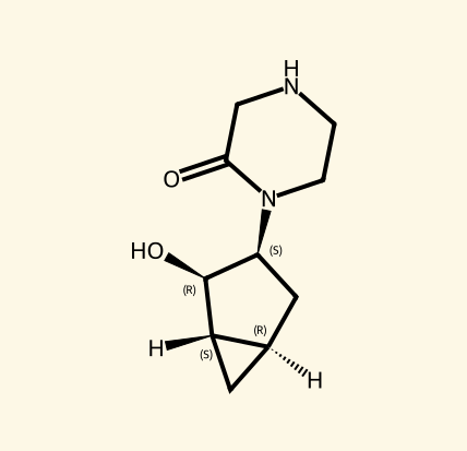 O=C1CNCCN1[C@H]1C[C@H]2C[C@@H]2[C@H]1O